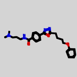 CN(C)CCCNC(=O)c1ccc(-c2nnc(CCCCOc3ccccc3)o2)cc1